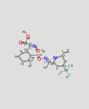 C=Cc1cc(C(F)(F)F)cc(/C(C)=N/OCc2c(C)cccc2/C(=N\OC)C(=O)OC)n1